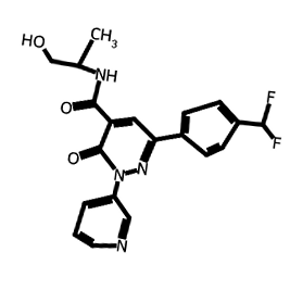 CC(CO)NC(=O)c1cc(-c2ccc(C(F)F)cc2)nn(-c2cccnc2)c1=O